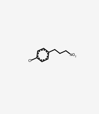 O=[N+]([O-])CCCc1ccc(Cl)cc1